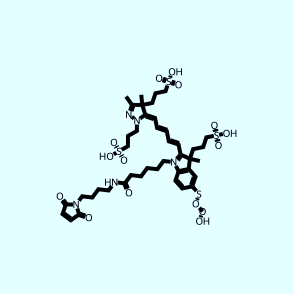 CC1=NN(CCCS(=O)(=O)O)\C(=C/C=C/C=C/C2=[N+](CCCCCC(=O)NCCCCN3C(=O)C=CC3=O)c3ccc(SOOO)cc3C2(C)CCCS(=O)(=O)O)C1(C)CCCS(=O)(=O)O